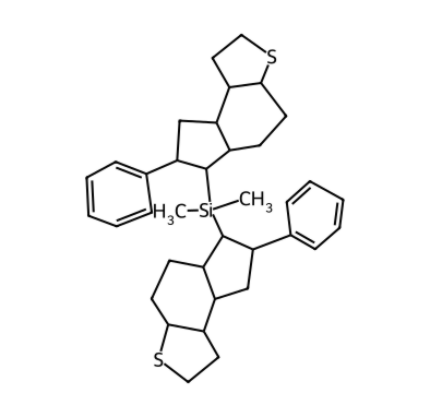 C[Si](C)(C1C(c2ccccc2)CC2C3CCSC3CCC21)C1C(c2ccccc2)CC2C3CCSC3CCC21